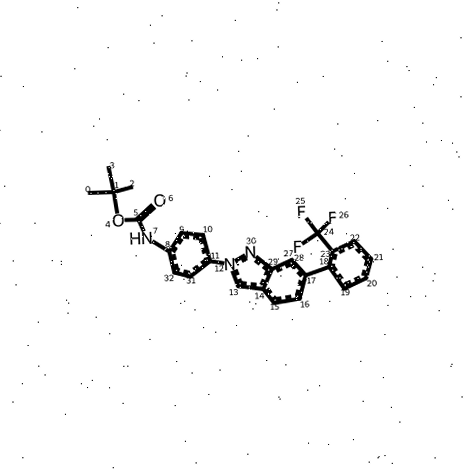 CC(C)(C)OC(=O)Nc1ccc(-n2cc3ccc(-c4ccccc4C(F)(F)F)cc3n2)cc1